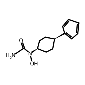 NC(=O)N(O)[C@H]1CC[C@@H](c2ccccc2)CC1